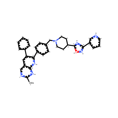 CSc1ncc2cc(-c3ccccc3)c(-c3ccc(CN4CCC(c5nc(-c6cccnc6)no5)CC4)cc3)nc2n1